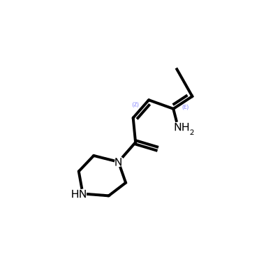 C=C(/C=C\C(N)=C/C)N1CCNCC1